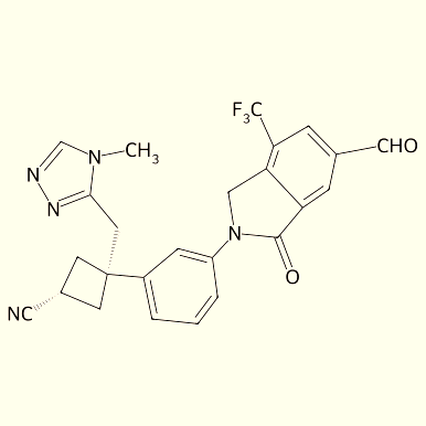 Cn1cnnc1C[C@]1(c2cccc(N3Cc4c(cc(C=O)cc4C(F)(F)F)C3=O)c2)C[C@H](C#N)C1